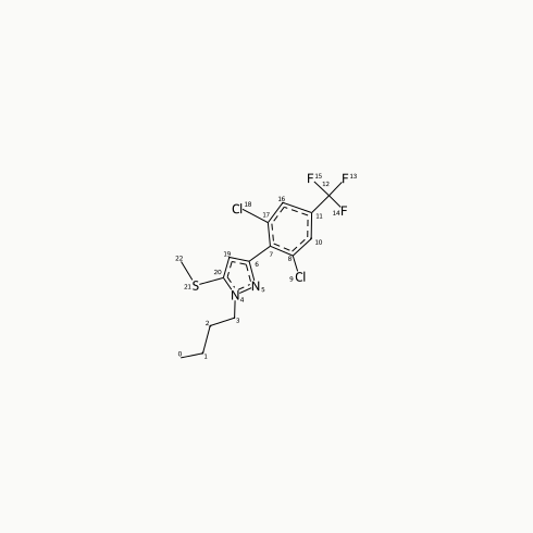 CCCCn1nc(-c2c(Cl)cc(C(F)(F)F)cc2Cl)cc1SC